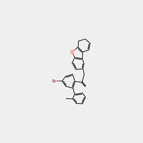 C=C(Cc1ccc2oc3c(c2c1)C=CCC3)c1ccc(Br)cc1-c1ccccc1C